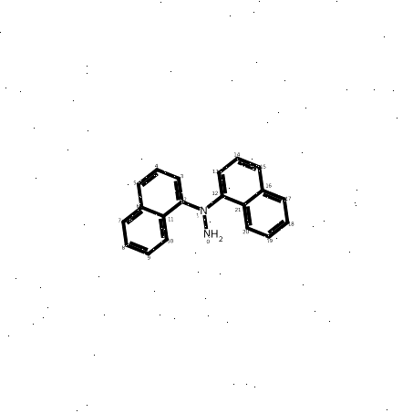 NN(c1cccc2ccccc12)c1cccc2ccccc12